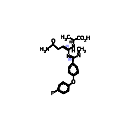 C=N/C(=N\C(=C/CC(N)=O)N[C@@H](C)C(=O)O)c1ccc(Oc2ccc(F)cc2)cc1